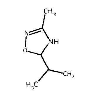 CC1=NOC(C(C)C)N1